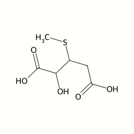 CSC(CC(=O)O)C(O)C(=O)O